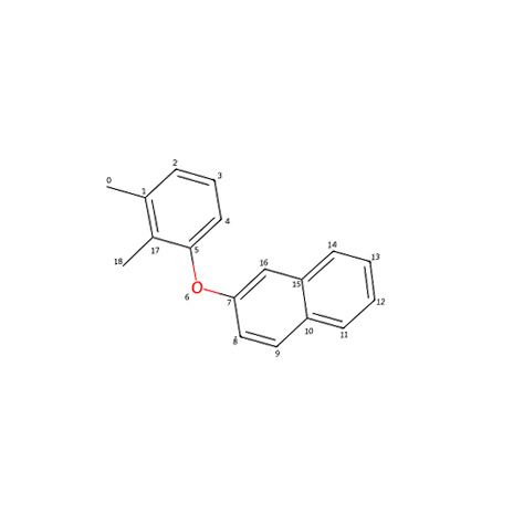 Cc1cccc(Oc2[c]cc3ccccc3c2)c1C